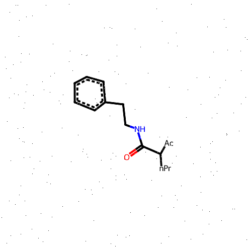 CCCC(C(C)=O)C(=O)NCCc1ccccc1